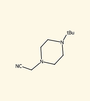 CC(C)(C)N1CCN(CC#N)CC1